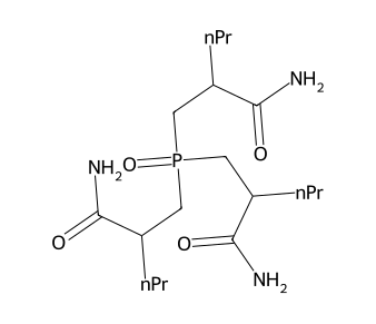 CCCC(CP(=O)(CC(CCC)C(N)=O)CC(CCC)C(N)=O)C(N)=O